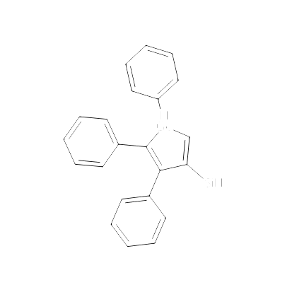 [SiH3]C1=[CH][GeH]([c]2ccccc2)[C](c2ccccc2)=C1c1ccccc1